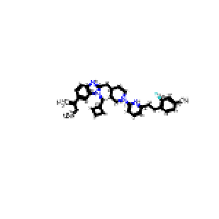 C=C(CC(C)(C)C)c1ccc2nc(CC3CCN(c4cccc(CCc5ccc(C#N)cc5F)n4)CC3)n(CC3CCC3)c2c1